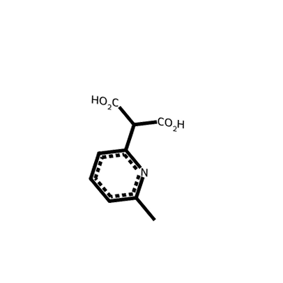 Cc1cccc(C(C(=O)O)C(=O)O)n1